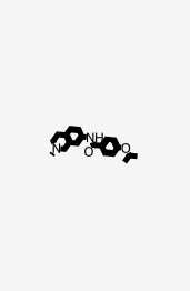 CC(C)Oc1ccc(C(=O)Nc2ccc3c(c2)CN(C)CC3)cc1